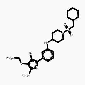 O=C(O)COc1c(C(=O)O)sc(-c2cccc(NC3CCN(S(=O)(=O)CC4CCCCC4)CC3)c2)c1Br